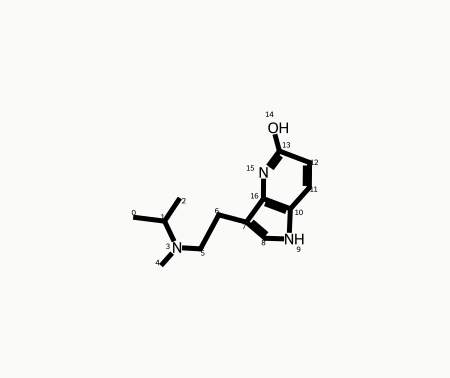 CC(C)N(C)CCc1c[nH]c2ccc(O)nc12